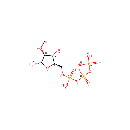 B[C@@H]1O[C@H](COP(=O)(O)OP(=O)(O)OP(=O)(O)O)C(O)[C@@H]1OC